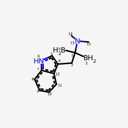 BC(B)(Cc1c[nH]c2ccccc12)N(C)C